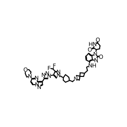 Cn1c(=O)n(C2CCC(=O)NC2=O)c2cccc(NCCC3CC4(C3)CN(CC3CCC(n5cc(-n6cc(-c7cnn8ccc(N9CCOCC9)nc78)nn6)c(C(F)F)n5)CC3)C4)c21